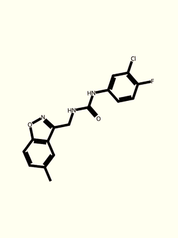 Cc1ccc2onc(CNC(=O)Nc3ccc(F)c(Cl)c3)c2c1